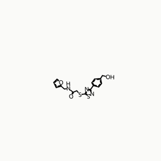 O=C(CSc1nc(-c2ccc(CO)cc2)ns1)NCc1ccco1